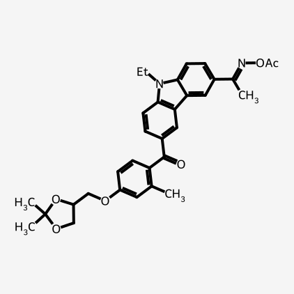 CCn1c2ccc(C(=O)c3ccc(OCC4COC(C)(C)O4)cc3C)cc2c2cc(/C(C)=N/OC(C)=O)ccc21